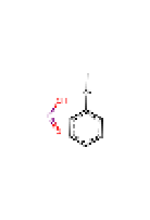 O=PO.[CH3][Zn][c]1ccccc1